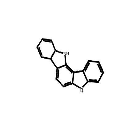 C1=CC2Nc3c(ccc4[nH]c5ccccc5c34)C2C=C1